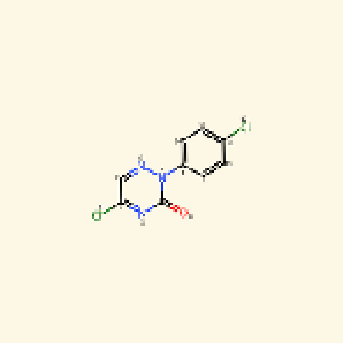 O=c1nc(Cl)cnn1-c1ccc(Cl)cc1